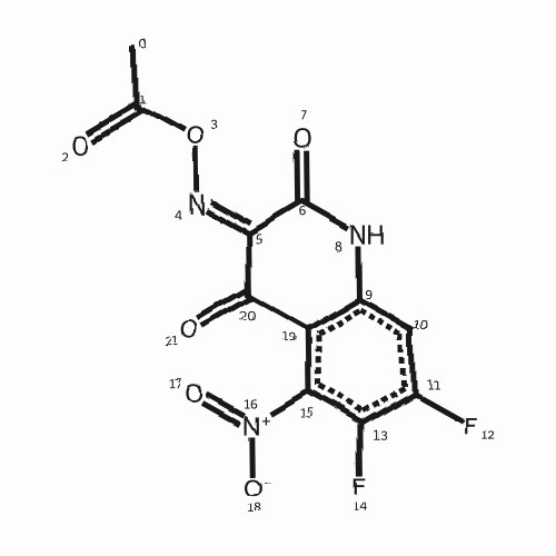 CC(=O)ON=C1C(=O)Nc2cc(F)c(F)c([N+](=O)[O-])c2C1=O